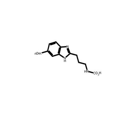 CCCCCCCCCCc1ccc2nc(CCCNC(=O)O)[nH]c2c1